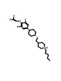 CCCCC[SiH]1CCC(CC[C@H]2CC[C@H](c3cc(F)c(OC=C(F)F)c(F)c3)CC2)CC1